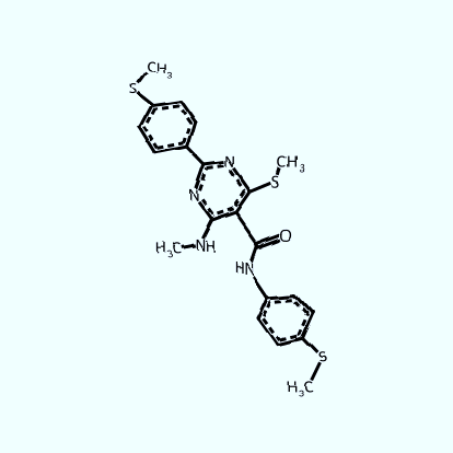 CNc1nc(-c2ccc(SC)cc2)nc(SC)c1C(=O)Nc1ccc(SC)cc1